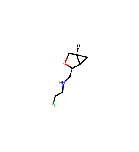 ClCCNC[C@H]1OC[C@@H]2CC21